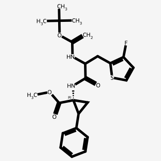 C=C(NC(Cc1sccc1F)C(=O)N[C@]1(C(=O)OC)CC1c1ccccc1)OC(C)(C)C